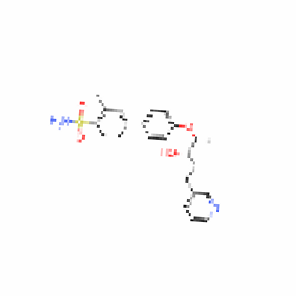 Cc1cc(-c2ccc(O[C@@H](C)[C@H](O)CCc3cccnc3)cc2)ccc1S(N)(=O)=O